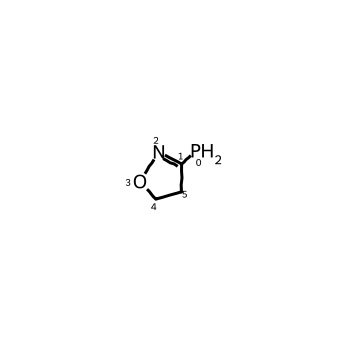 PC1=NOCC1